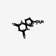 CCOC(=O)[C@@H]1CCC2(N1)OC(=O)CC(=O)O2